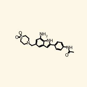 CC(=O)Nc1ccc(-c2cc3cc(CN4CCS(=O)(=O)CC4)cc(N)c3[nH]2)cc1